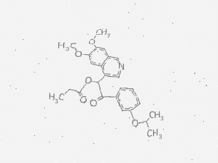 CCC(=O)OC(C(=O)c1cccc(OC(C)C)c1)c1cncc2cc(OC)c(OC)cc12